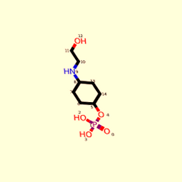 O=P(O)(O)OC1CCC(NCCO)CC1